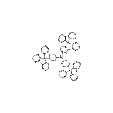 c1ccc(C2(c3ccc(N(c4ccc(C5(c6ccccc6)c6ccccc6-c6ccccc65)cc4)c4ccc5c(c4)-c4ccccc4C5(c4ccccc4)c4ccccc4)cc3)c3ccccc3-c3ccccc32)cc1